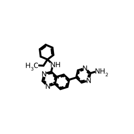 CCC1(Nc2ncnc3ccc(-c4cnc(N)nc4)cc23)C=CC=CC1